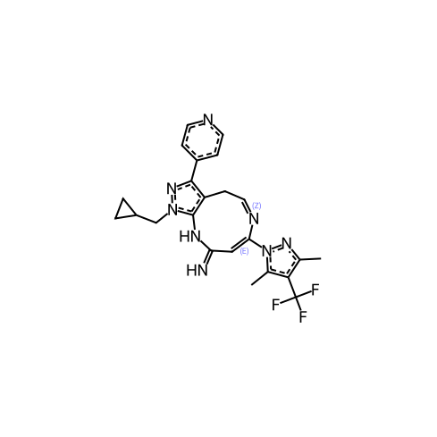 Cc1nn(C2=C/C(=N)Nc3c(c(-c4ccncc4)nn3CC3CC3)C/C=N\2)c(C)c1C(F)(F)F